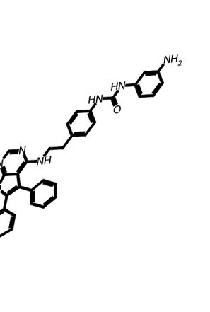 Nc1cccc(NC(=O)Nc2ccc(CCNc3ncnc4oc(-c5ccccc5)c(-c5ccccc5)c34)cc2)c1